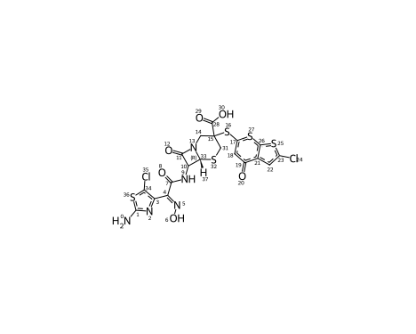 Nc1nc(C(=NO)C(=O)NC2C(=O)N3CC(Sc4cc(=O)c5cc(Cl)sc5s4)(C(=O)O)CS[C@H]23)c(Cl)s1